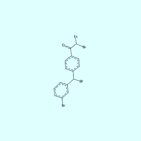 CCC(Br)C(=O)c1ccc(C(Br)c2cc[c]c(Br)c2)cc1